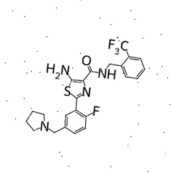 Nc1sc(-c2cc(CN3CCCC3)ccc2F)nc1C(=O)NCc1ccccc1C(F)(F)F